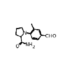 Cc1cc(C=O)ccc1N1CCCC1C(N)=O